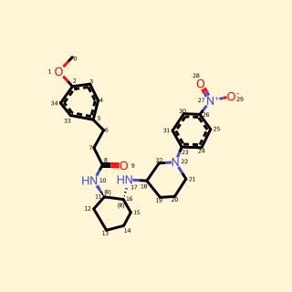 COc1ccc(CCC(=O)N[C@@H]2CCCC[C@H]2NC2CCCN(c3ccc([N+](=O)[O-])cc3)C2)cc1